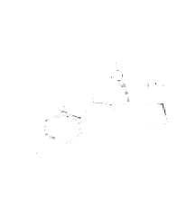 CC(C)(CCl)C(=O)NCc1ccc(Cl)cc1